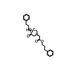 O=C(O)CN(CC(=O)OCCCc1ccccc1)CC(=O)OCCCc1ccccc1